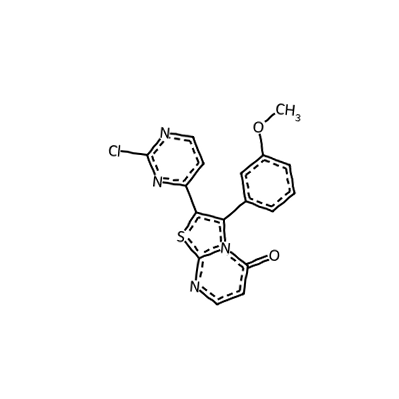 COc1cccc(-c2c(-c3ccnc(Cl)n3)sc3nccc(=O)n23)c1